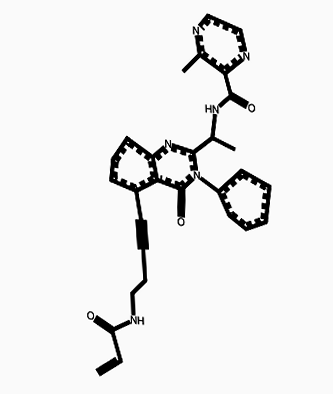 C=CC(=O)NCCC#Cc1cccc2nc(C(C)NC(=O)c3nccnc3C)n(-c3ccccc3)c(=O)c12